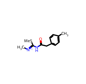 C/N=C(/NC(=O)Cc1ccc(C)cc1)SC